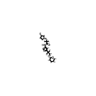 CC(C)(SN1CC[C@@H](F)C1)C(=O)Nc1cc(C(C)(C)COC2CCCCO2)no1